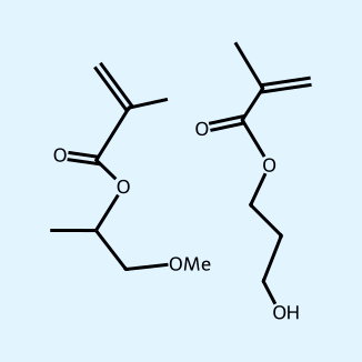 C=C(C)C(=O)OC(C)COC.C=C(C)C(=O)OCCCO